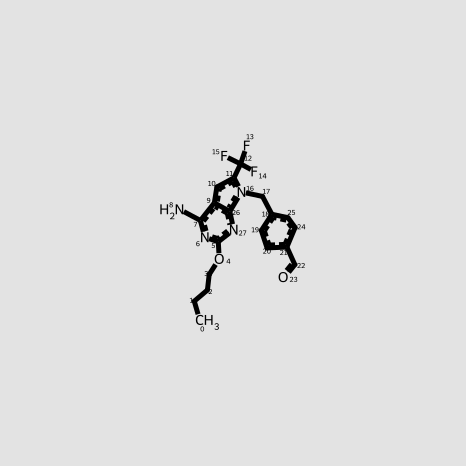 CCCCOc1nc(N)c2cc(C(F)(F)F)n(Cc3ccc(C=O)cc3)c2n1